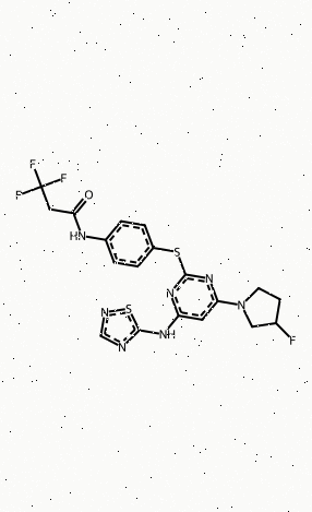 O=C(CC(F)(F)F)Nc1ccc(Sc2nc(Nc3ncns3)cc(N3CCC(F)C3)n2)cc1